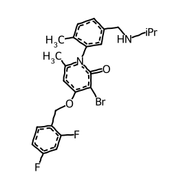 Cc1ccc(CNC(C)C)cc1-n1c(C)cc(OCc2ccc(F)cc2F)c(Br)c1=O